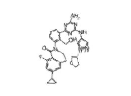 Nc1nc(Nc2cnn([C@@H]3CCOC3)c2)nc(-c2cccc(N3CCc4cc(C5CC5)cc(F)c4C3=O)c2CO)n1